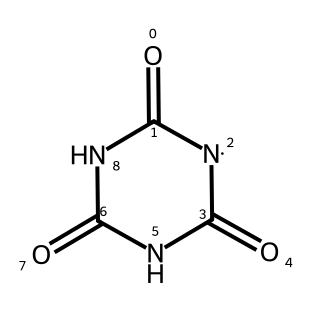 O=C1[N]C(=O)NC(=O)N1